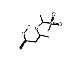 C=C(CC(C)OC(C)S(=O)(=O)F)OF